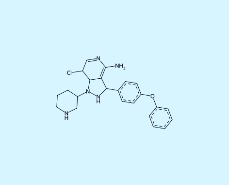 NC1=C2C(c3ccc(Oc4ccccc4)cc3)NN(C3CCCNC3)C2C(Cl)C=N1